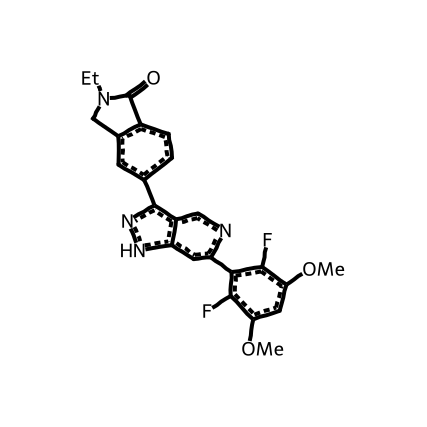 CCN1Cc2cc(-c3n[nH]c4cc(-c5c(F)c(OC)cc(OC)c5F)ncc34)ccc2C1=O